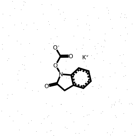 O=C([O-])ON1C(=O)Cc2ccccc21.[K+]